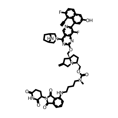 C#Cc1c(F)ccc2cc(O)cc(-c3ncc4c(N5CC6CCC(C5)N6)nc(OC[C@@]56CC[C@@H](COC(=O)N(C)CCCCNc7cccc8c7C(=O)N(C7CCC(=O)NC7=O)C8=O)N5CC(=C)C6)nc4c3F)c12